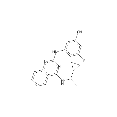 CC(Nc1nc(Nc2cc(F)cc(C#N)c2)nc2ccccc12)C1CC1